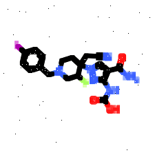 N#CCC1(n2cc(C(N)=O)c(NC(=O)O)n2)CCN(Cc2ccc(I)cc2)CC1F